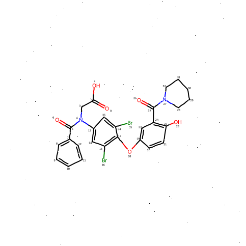 O=C(O)CN(C(=O)c1ccccc1)c1cc(Br)c(Oc2ccc(O)c(C(=O)N3CCCCC3)c2)c(Br)c1